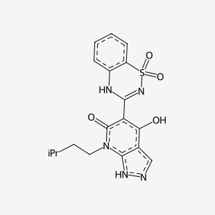 CC(C)CCn1c(=O)c(C2=NS(=O)(=O)c3ccccc3N2)c(O)c2cn[nH]c21